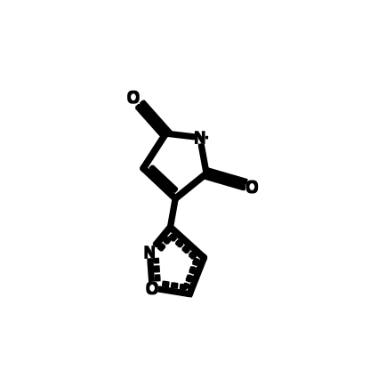 O=C1C=C(c2ccon2)C(=O)[N]1